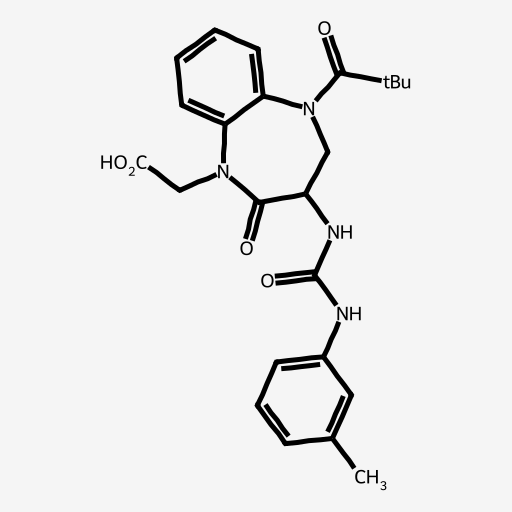 Cc1cccc(NC(=O)NC2CN(C(=O)C(C)(C)C)c3ccccc3N(CC(=O)O)C2=O)c1